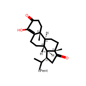 CCCCCC(C)[C@@H]1CC(=O)[C@@]2(C)CC[C@H]3[C@@H](CCC4=C(O)C(=O)CC[C@@]43C)[C@H]12